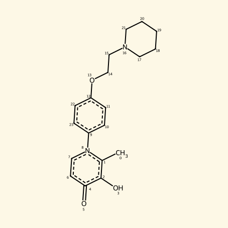 Cc1c(O)c(=O)ccn1-c1ccc(OCCN2CCCCC2)cc1